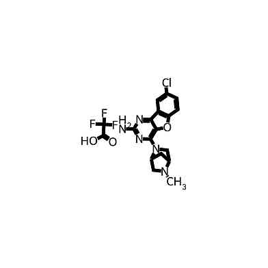 CN1CC2CC1CN2c1nc(N)nc2c1oc1ccc(Cl)cc12.O=C(O)C(F)(F)F